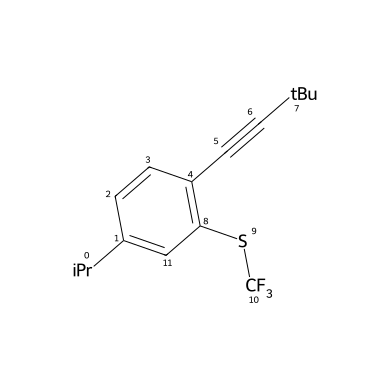 CC(C)c1ccc(C#CC(C)(C)C)c(SC(F)(F)F)c1